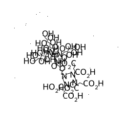 O=C(O)CCC(C(=O)O)N1CCN(Cc2cccc(C(=O)NCC(CNC(=O)C(O)C(O)C(O)C(O)CO)(CNC(=O)C(O)C(O)C(O)C(O)CO)CNC(=O)C(O)C(O)C(O)C(O)CO)c2)CCN(C(CCC(=O)O)C(=O)O)CCN(C(CCC(=O)O)C(=O)O)CC1